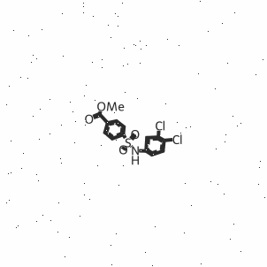 COC(=O)c1ccc(S(=O)(=O)Nc2ccc(Cl)c(Cl)c2)cc1